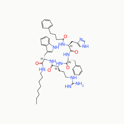 CCCCCCCCNC(=O)[C@H](Cc1c[nH]c2ccccc12)NC(=O)[C@H](CCCNC(=N)N)NC(=O)[C@@H](Cc1ccccc1)NC(=O)[C@H](Cc1c[nH]cn1)NC(=O)CCCc1ccccc1